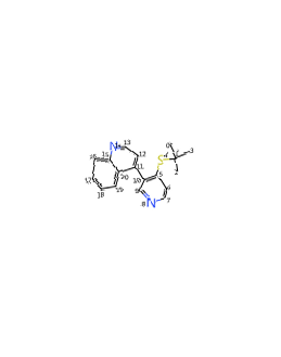 CC(C)(C)Sc1ccncc1-c1ccnc2ccccc12